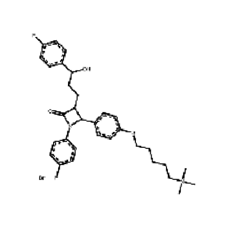 C[N+](C)(C)CCCCCOc1ccc(C2C(CCC(O)c3ccc(F)cc3)C(=O)N2c2ccc(F)cc2)cc1.[Br-]